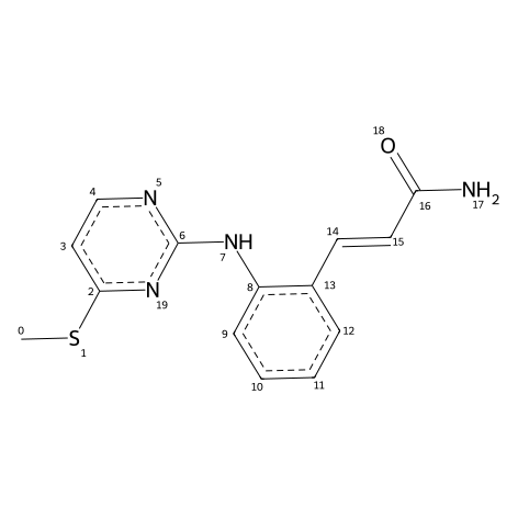 CSc1ccnc(Nc2ccccc2C=CC(N)=O)n1